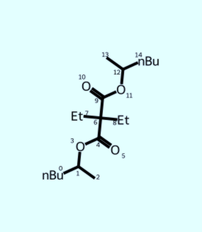 CCCCC(C)OC(=O)C(CC)(CC)C(=O)OC(C)CCCC